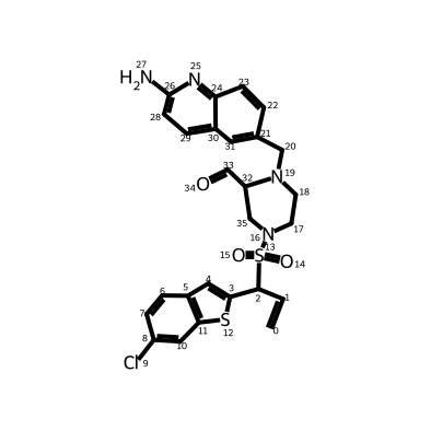 C=CC(c1cc2ccc(Cl)cc2s1)S(=O)(=O)N1CCN(Cc2ccc3nc(N)ccc3c2)C(C=O)C1